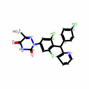 O=C(O)c1nn(-c2cc(Cl)c(C(c3ccc(Cl)cc3)c3ccccn3)c(Cl)c2)c(=O)[nH]c1=O